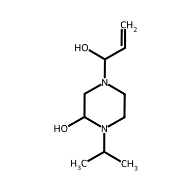 C=CC(O)N1CCN(C(C)C)C(O)C1